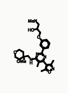 CNCC(O)COc1cccc(-c2nc(NCC3(OC)CCOCC3)c(C)c(-c3c(C)noc3C)n2)c1